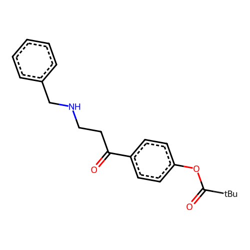 CC(C)(C)C(=O)Oc1ccc(C(=O)CCNCc2ccccc2)cc1